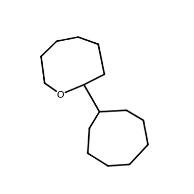 C1CCCC(C2CCCCCCO2)CCC1